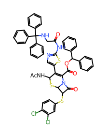 CC(=O)NC1SC2C(Sc3ccc(Cl)c(Cl)c3)C(=O)N2C(C(=O)OC(c2ccccc2)c2ccccc2)=C1c1cnc(NC(=O)CNC(c2ccccc2)(c2ccccc2)c2ccccc2)s1